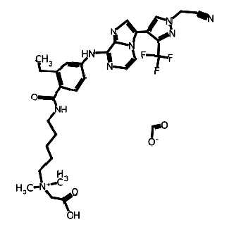 CCc1cc(Nc2nccn3c(-c4cn(CC#N)nc4C(F)(F)F)cnc23)ccc1C(=O)NCCCCC[N+](C)(C)CC(=O)O.O=C[O-]